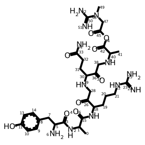 CC(NC(=O)C(N)Cc1ccc(O)cc1)C(=O)NC(CCCNC(=N)N)C(=O)CNC(CCC(N)=O)C(=O)CNC(C)C(=O)OC(=O)CN(C)C(=N)N